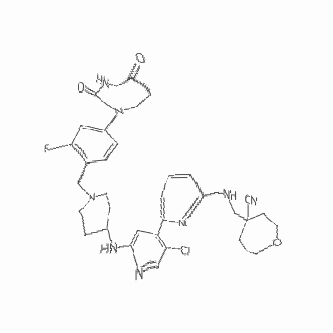 N#CC1(CNc2cccc(-c3cc(NC4CCN(Cc5ccc(N6CCC(=O)NC6=O)cc5F)CC4)ncc3Cl)n2)CCOCC1